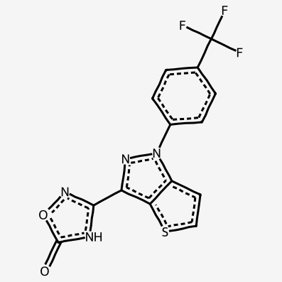 O=c1[nH]c(-c2nn(-c3ccc(C(F)(F)F)cc3)c3ccsc23)no1